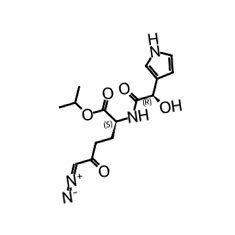 CC(C)OC(=O)[C@H](CCC(=O)C=[N+]=[N-])NC(=O)[C@H](O)c1cc[nH]c1